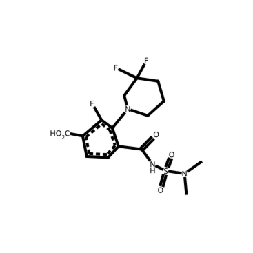 CN(C)S(=O)(=O)NC(=O)c1ccc(C(=O)O)c(F)c1N1CCCC(F)(F)C1